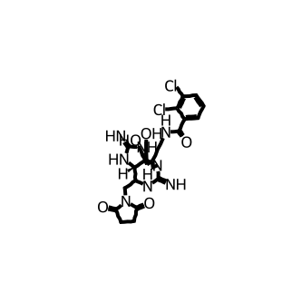 N=C1N[C@H]2C(CN3C(=O)CCC3=O)NC(=N)N3CC(NC(=O)c4cccc(Cl)c4Cl)C(O)(O)[C@]23N1